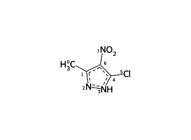 Cc1n[nH]c(Cl)c1[N+](=O)[O-]